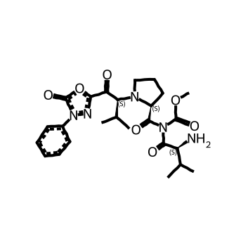 COC(=O)N(C(=O)[C@@H](N)C(C)C)C(=O)[C@@H]1CCCN1[C@H](C(=O)c1nn(-c2ccccc2)c(=O)o1)C(C)C